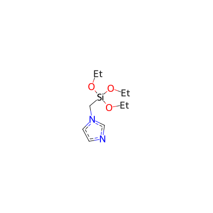 CCO[Si](Cn1ccnc1)(OCC)OCC